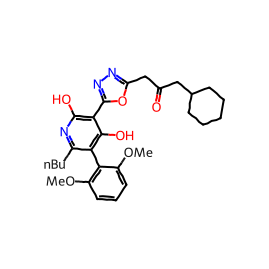 CCCCc1nc(O)c(-c2nnc(CC(=O)CC3CCCCC3)o2)c(O)c1-c1c(OC)cccc1OC